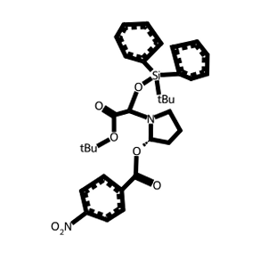 CC(C)(C)OC(=O)C(O[Si](c1ccccc1)(c1ccccc1)C(C)(C)C)N1CCC[C@@H]1OC(=O)c1ccc([N+](=O)[O-])cc1